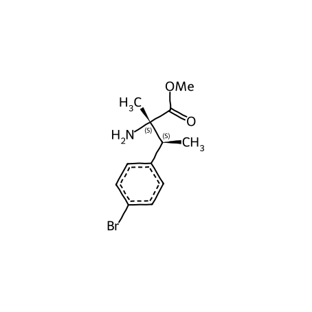 COC(=O)[C@@](C)(N)[C@@H](C)c1ccc(Br)cc1